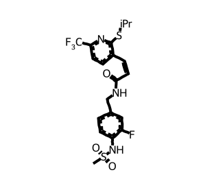 CC(C)Sc1nc(C(F)(F)F)ccc1/C=C\C(=O)NCc1ccc(NS(C)(=O)=O)c(F)c1